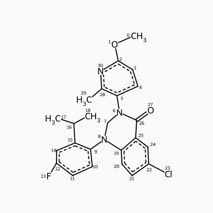 COc1ccc(N2CN(c3ccc(F)cc3C(C)C)c3ccc(Cl)cc3C2=O)c(C)n1